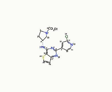 CCOC(=O)N1CC[C@@H](Nc2nc(-c3ccnc(Cl)c3)nc3ccsc23)C1